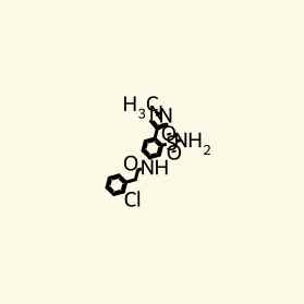 Cn1cc(-c2ccc(NC(=O)Cc3ccccc3Cl)cc2S(N)(=O)=O)cn1